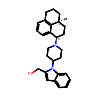 OCc1cc2ccccc2n1C1CCN([C@@H]2CC[C@@H]3CCCc4cccc2c43)CC1